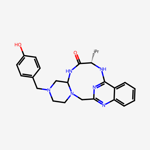 CC(C)[C@@H]1Nc2nc(nc3ccccc23)CN2CCN(Cc3ccc(O)cc3)CC2NC1=O